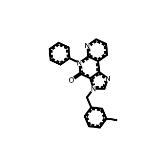 Cc1cccc(Cn2cnc3c4cccnc4n(-c4ccccc4)c(=O)c32)c1